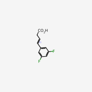 O=C(O)C/C=C/c1cc(F)cc(F)c1